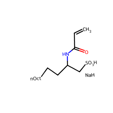 C=CC(=O)NC(CCCCCCCCCC)CS(=O)(=O)O.[NaH]